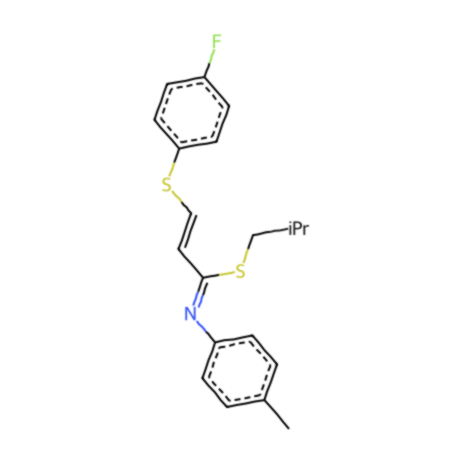 Cc1ccc(N=C(C=CSc2ccc(F)cc2)SCC(C)C)cc1